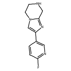 Fc1ccc(-c2cn3c(n2)CNCC3)cn1